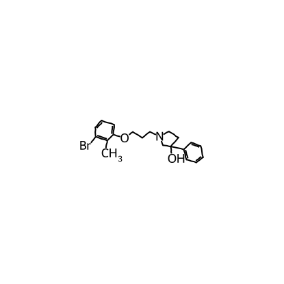 Cc1c(Br)cccc1OCCCN1CCC(O)(c2ccccc2)C1